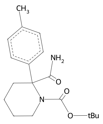 Cc1ccc(C2(C(N)=O)CCCCN2C(=O)OC(C)(C)C)cc1